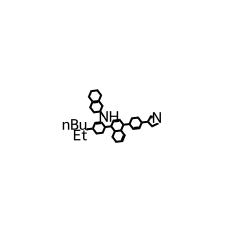 CCCCC(CC)C1C=C(N[C@H]2CCC3=C(CCCC3)C2)C(C2C=CC(C3C=CC(C4C=NCC4)CC3)C3C=CCCC23)CC1